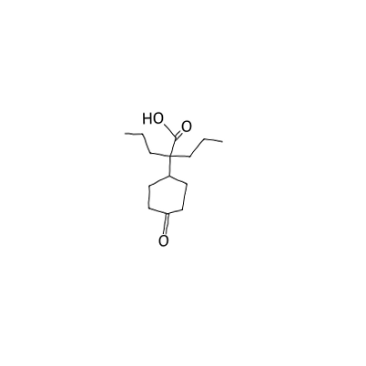 CCCC(CCC)(C(=O)O)C1CCC(=O)CC1